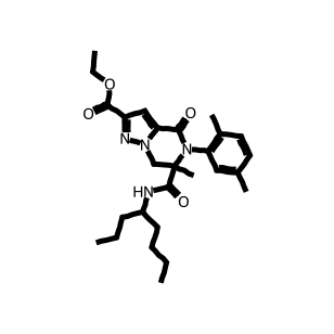 CCCCC(CCC)NC(=O)C1(C)Cn2nc(C(=O)OCC)cc2C(=O)N1c1cc(C)ccc1C